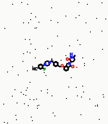 C=C1CC[C@H](N2Cc3c(OCc4ccc([C@H](C)N5CCN(c6ccc(C#N)cc6F)CC5)cc4)cccc3C2=O)C(=O)N1